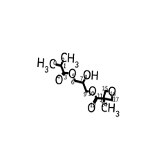 CC(C)C(=O)OCC(O)COC(=O)C1(C)COC1